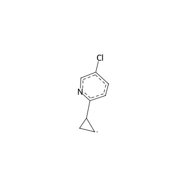 Clc1ccc(C2[CH]C2)nc1